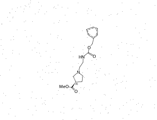 COC(=O)[C@@H]1CCN(CCNC(=O)OCc2ccccc2)C1